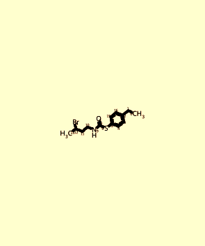 CCc1ccc(SC(=O)NCCC(C)Br)cc1